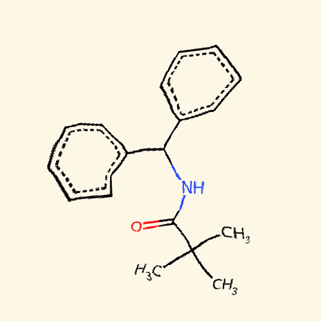 CC(C)(C)C(=O)NC(c1ccccc1)c1ccccc1